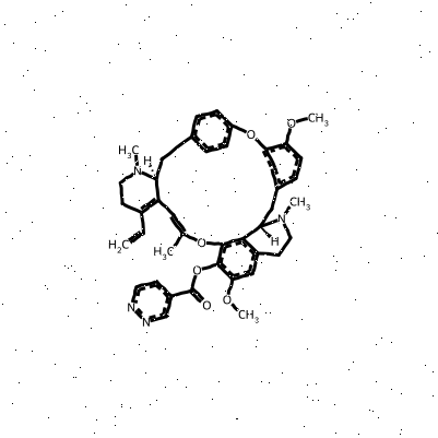 C=CC1=C2/C=C(\C)Oc3c(OC(=O)c4ccnnc4)c(OC)cc4c3[C@H](Cc3ccc(OC)c(c3)Oc3ccc(cc3)C[C@@H]2N(C)CC1)N(C)CC4